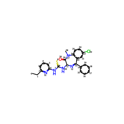 CCc1cccc(NC(=S)NC2N=C(c3ccccc3)c3cc(Cl)ccc3N(C)C2=O)n1